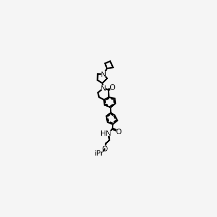 CC(C)OCCNC(=O)c1ccc(-c2ccc3c(c2)CCN(C2CCN(C4CCC4)C2)C3=O)cc1